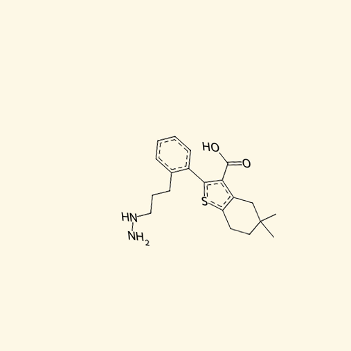 CC1(C)CCc2sc(-c3ccccc3CCCNN)c(C(=O)O)c2C1